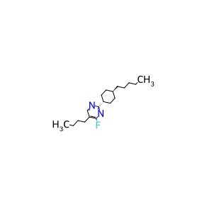 CCCCC[C@H]1CC[C@H](c2ncc(CCCC)c(F)n2)CC1